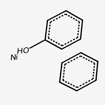 Oc1ccccc1.[Ni].c1ccccc1